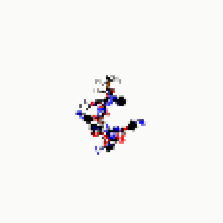 C[C@H](CSSC(C)(C)C)NC(=O)[C@H](Cc1c[nH]c2ccccc12)NC(=O)[C@H](CCCCN(C)C)NC(=O)CNC(=O)[C@H](CSSC(C)(C)CN1CCC[C@H]1C(=O)OCC(=O)N[C@@H](CCCCNC(=O)OCc1ccc(N=[N+]=[N-])cc1)C(=O)N[C@@H](CC(=O)O)C(=O)N1CCC[C@H]1C(N)=O)NC(=O)OCc1ccc(N=[N+]=[N-])cc1